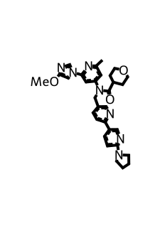 COc1cn(-c2cc(N(Cc3ccc(-c4ccc(N5CCCC5)nc4)nc3)C(=O)C3CCOCC3)cc(C)n2)cn1